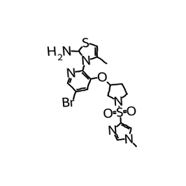 CC1=CSC(N)N1c1ncc(Br)cc1OC1CCN(S(=O)(=O)c2cn(C)cn2)C1